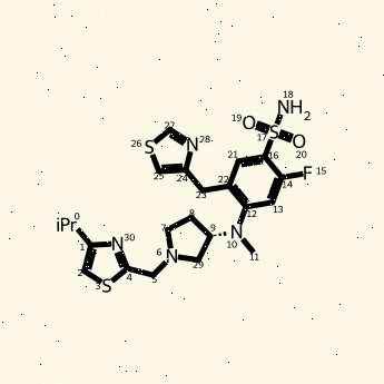 CC(C)c1csc(CN2CC[C@H](N(C)c3cc(F)c(S(N)(=O)=O)cc3Cc3cscn3)C2)n1